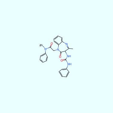 CC1=Nc2ccccc2N(CC(=O)N(c2ccccc2)C(C)C)C(=O)C1NC(=O)Nc1ccccc1